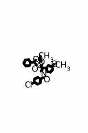 COc1ccc2c(c1)c(OC(=O)C(OC(C)=O)c1ccccc1)cn2C(=O)c1ccc(Cl)cc1